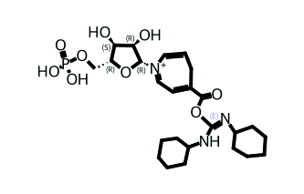 O=C(O/C(=N/C1CCCCC1)NC1CCCCC1)C1=CC=[N+]([C@@H]2O[C@H](COP(=O)(O)O)[C@@H](O)[C@H]2O)C=CC1